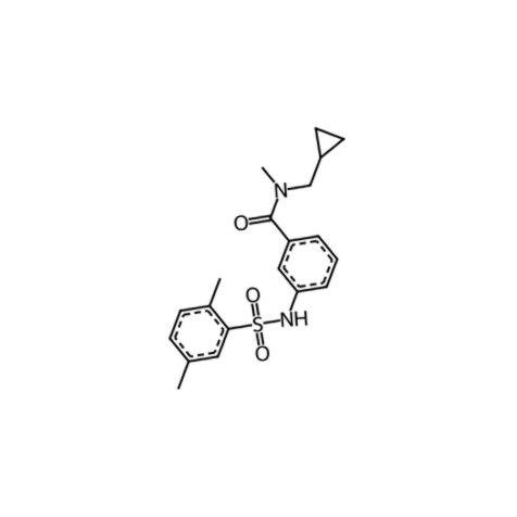 Cc1ccc(C)c(S(=O)(=O)Nc2cccc(C(=O)N(C)CC3CC3)c2)c1